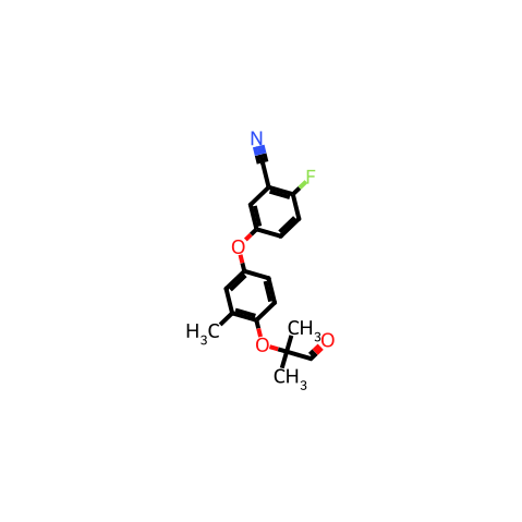 Cc1cc(Oc2ccc(F)c(C#N)c2)ccc1OC(C)(C)C=O